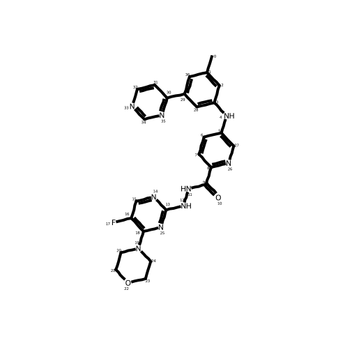 Cc1cc(Nc2ccc(C(=O)NNc3ncc(F)c(N4CCOCC4)n3)nc2)cc(-c2ccncn2)c1